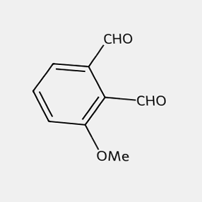 COc1cccc(C=O)c1C=O